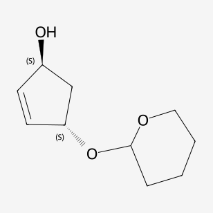 O[C@@H]1C=C[C@@H](OC2CCCCO2)C1